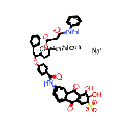 CCCCCCCCCC(CCC(OC)C(Cc1ccccc1)Oc1ccc(C(=O)Nc2ccc3c(c2)C(=O)c2c(cc(S(=O)(=O)[O-])c(O)c2O)C3=O)cc1)OC(=O)CC(=O)Nc1ccccc1.[Na+]